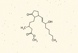 CCCCCC(O)C=CC1CCC(=O)C1CCC(C)CC(=O)OC